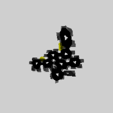 N#Cc1ccccc1-c1cc(-c2ccccc2)cc(-c2c(-c3cccc4c3sc3ccccc34)cccc2-c2cccc3c2sc2ccccc23)c1